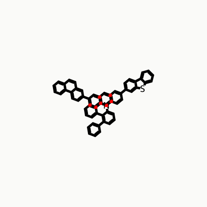 c1ccc(-c2ccccc2-c2c(-c3ccccc3)cccc2N(c2ccc(-c3ccc4c(ccc5ccccc54)c3)cc2)c2ccc(-c3ccc4c(c3)sc3ccccc34)cc2)cc1